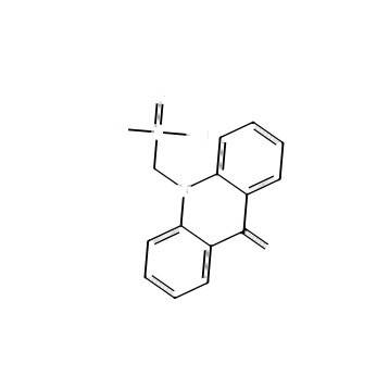 O=c1c2ccccc2n(CP(=O)(O)O)c2ccccc12